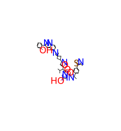 Cc1ncsc1-c1ccc(C(C)NC(=O)[C@@H]2C[C@@H](O)CN2C(=O)C(c2cc(C3CC4(C3)CN(c3ccc5nnc(-c6ccccc6O)cc5c3)C4)no2)C(C)C)cc1